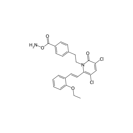 CCOc1ccccc1/C=C/c1c(Cl)cc(Cl)c(=O)n1CCc1ccc(C(=O)ON)cc1